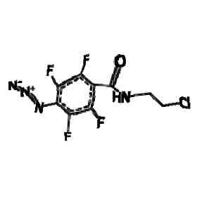 [N-]=[N+]=Nc1c(F)c(F)c(C(=O)NCCCl)c(F)c1F